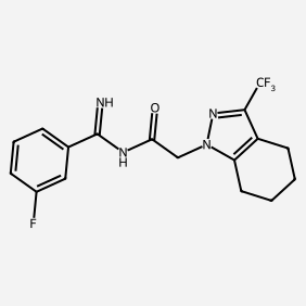 N=C(NC(=O)Cn1nc(C(F)(F)F)c2c1CCCC2)c1cccc(F)c1